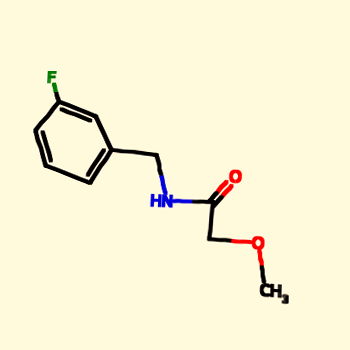 COCC(=O)NCc1cccc(F)c1